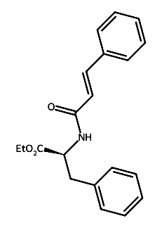 CCOC(=O)[C@H](Cc1ccccc1)NC(=O)/C=C/c1ccccc1